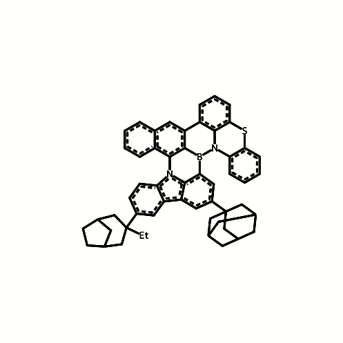 CCC1(c2ccc3c(c2)c2cc(C45CC6CC(CC(C6)C4)C5)cc4c2n3-c2c3c(cc5ccccc25)-c2cccc5c2N(B34)c2ccccc2S5)CC2CCC(C2)C1